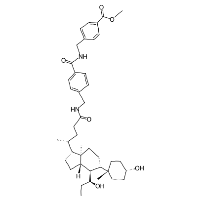 CC[C@H](O)[C@H]1[C@@H]2CC[C@H]([C@H](C)CCC(=O)NCc3ccc(C(=O)NCc4ccc(C(=O)OC)cc4)cc3)[C@@]2(C)CC[C@@H]1[C@]1(C)CC[C@H](O)CC1